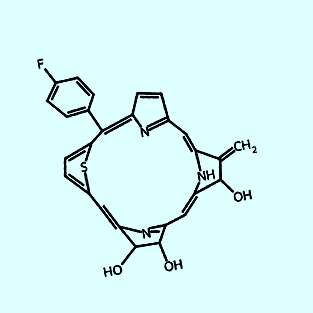 C=C1c2cc3nc(c(-c4ccc(F)cc4)c4ccc(cc5nc(cc([nH]2)C1O)C(O)C5O)s4)C=C3